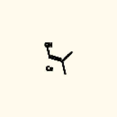 CC(C)=CO.[Ce]